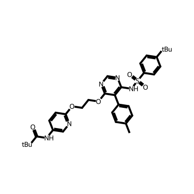 Cc1ccc(-c2c(NS(=O)(=O)c3ccc(C(C)(C)C)cc3)ncnc2OCCOc2ccc(NC(=O)C(C)(C)C)cn2)cc1